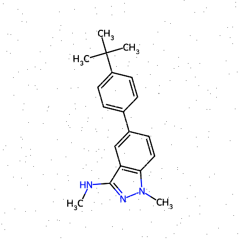 CNc1nn(C)c2ccc(-c3ccc(C(C)(C)C)cc3)cc12